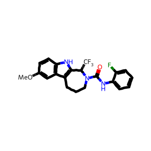 COc1ccc2[nH]c3c(c2c1)CCCN(C(=O)Nc1ccccc1F)C3C(F)(F)F